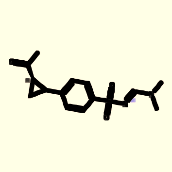 CC(=O)[C@@H]1CC1c1ccc(S(=O)(=O)/N=C/N(C)C)cc1